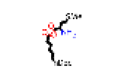 CCCCCCCCCCCCCCCC(=O)OC(=O)[C@@H](N)CCSC